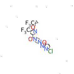 O=C(c1cnc(OCC2(C(F)(F)F)CC2)c(C(F)(F)F)c1)N1CCN(c2nc3nc(Cl)ccc3o2)CC1